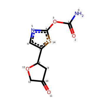 NC(=O)Oc1ncc(C2CC(=O)CO2)s1